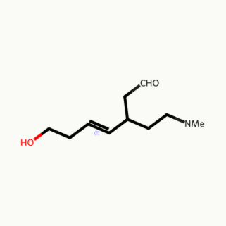 CNCCC(/C=C/CCO)CC=O